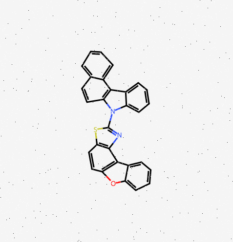 c1ccc2c(c1)ccc1c2c2ccccc2n1-c1nc2c(ccc3oc4ccccc4c32)s1